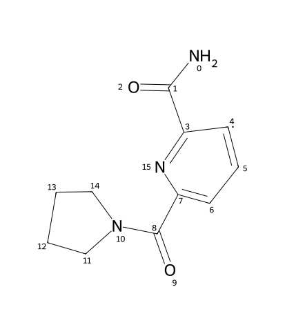 NC(=O)c1[c]ccc(C(=O)N2CCCC2)n1